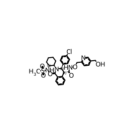 CS(=O)(=O)N[C@H]1CCCCC1N1C(=O)c2ccccc2[C@@H](C(=O)NOCc2ccc(CO)cn2)[C@@H]1c1ccc(Cl)cc1